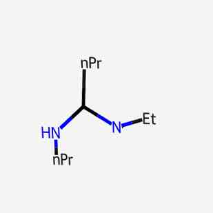 CCCNC(CCC)[N]CC